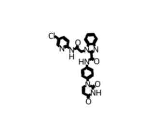 O=C(Cn1c(C(=O)Nc2ccc(-n3ccc(=O)[nH]c3=O)cc2)nc2ccccc21)Nc1ccc(Cl)cn1